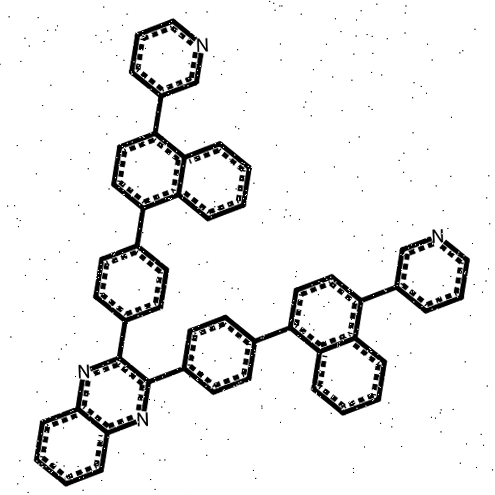 c1cncc(-c2ccc(-c3ccc(-c4nc5ccccc5nc4-c4ccc(-c5ccc(-c6cccnc6)c6ccccc56)cc4)cc3)c3ccccc23)c1